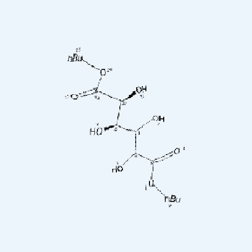 CCCCOC(=O)C(O)C(O)[C@@H](O)[C@H](O)C(=O)OCCCC